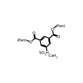 CCCC(C)OC(=O)c1cc(C(=O)OC(C)CCC)cc(S(=O)(=O)O)c1.[CaH2]